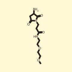 BC1CC(=O)N(CCC(=O)NCCOCCOC)C1=O